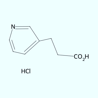 Cl.O=C(O)CCc1cccnc1